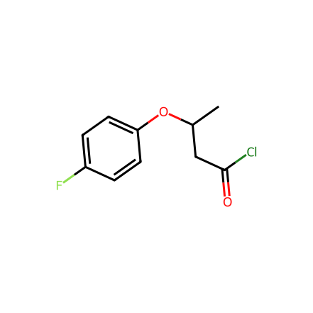 CC(CC(=O)Cl)Oc1ccc(F)cc1